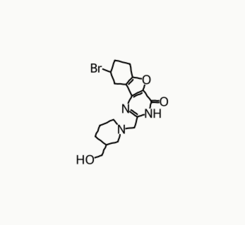 O=c1[nH]c(CN2CCCC(CO)C2)nc2c3c(oc12)CCC(Br)C3